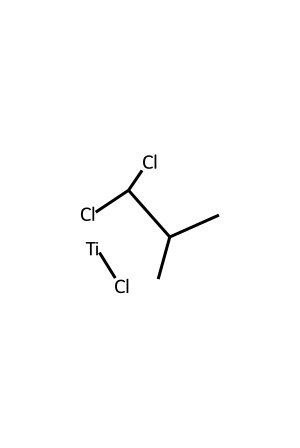 CC(C)C(Cl)Cl.[Cl][Ti]